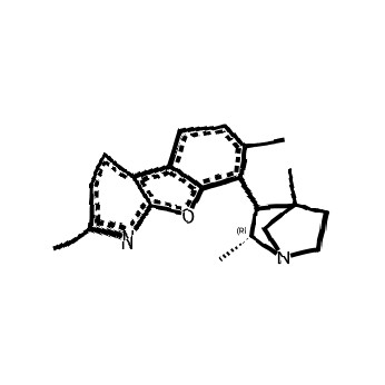 Cc1ccc2c(n1)oc1c(C3[C@@H](C)N4CCC3(C)C4)c(C)ccc12